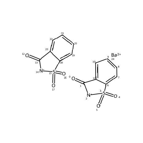 O=C1[N-]S(=O)(=O)c2ccccc21.O=C1[N-]S(=O)(=O)c2ccccc21.[Ba+2]